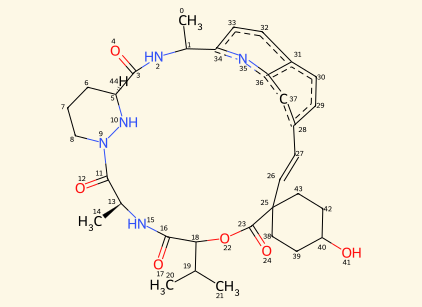 CC1NC(=O)[C@@H]2CCCN(N2)C(=O)[C@H](C)NC(=O)C(C(C)C)OC(=O)C2(/C=C/c3ccc4ccc1nc4c3)CCC(O)CC2